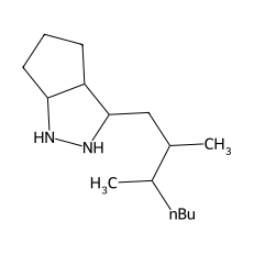 CCCCC(C)C(C)CC1NNC2CCCC21